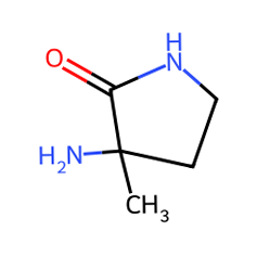 CC1(N)CCNC1=O